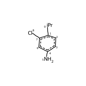 CC(C)c1ccc(N)cc1Cl